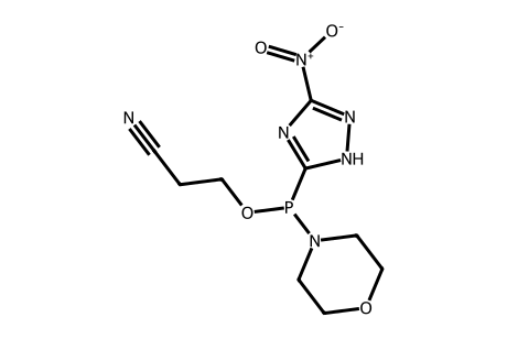 N#CCCOP(c1nc([N+](=O)[O-])n[nH]1)N1CCOCC1